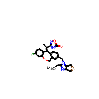 COCc1nc2cscc2n1Cc1ccc2c(c1)COc1cc(F)ccc1/C2=C(\C)c1noc(=O)[nH]1